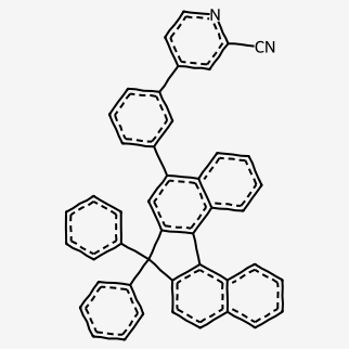 N#Cc1cc(-c2cccc(-c3cc4c(c5ccccc35)-c3c(ccc5ccccc35)C4(c3ccccc3)c3ccccc3)c2)ccn1